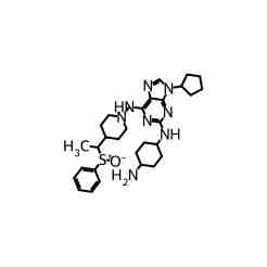 CC(C1CCN(Nc2nc(NC3CCC(N)CC3)nc3c2ncn3C2CCCC2)CC1)[S+]([O-])c1ccccc1